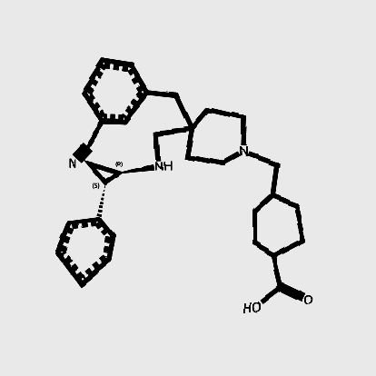 N#Cc1cccc(CC2(CN[C@@H]3C[C@H]3c3ccccc3)CCN(CC3CCC(C(=O)O)CC3)CC2)c1